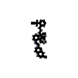 CC(C)(O)c1ccccc1CCC[C@](S)(c1cccc(/C=C/c2ccc3ccc(Cl)cc3n2)c1)C1(CC(=O)O)CC1